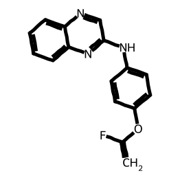 C=C(F)Oc1ccc(Nc2cnc3ccccc3n2)cc1